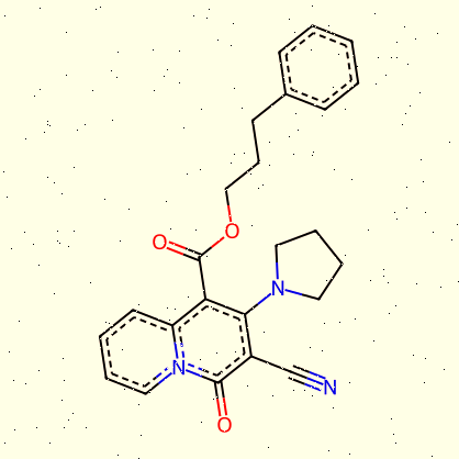 N#Cc1c(N2CCCC2)c(C(=O)OCCCc2ccccc2)c2ccccn2c1=O